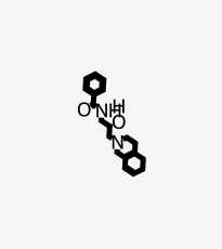 O=C(NC[C@H](O)CN1CCC2=C(C=CCC2)C1)c1ccccc1